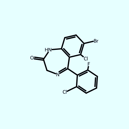 O=C1CN=C(c2c(F)cccc2Cl)c2c(ccc(Br)c2Cl)N1